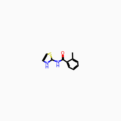 Cc1ccccc1C(=O)NC1NC=CS1